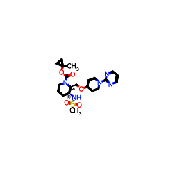 CC1(OC(=O)N2CCC[C@H](NS(C)(=O)=O)[C@@H]2COC2CCN(c3ncccn3)CC2)CC1